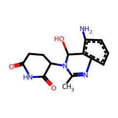 CC1=Nc2cccc(N)c2C(O)N1C1CCC(=O)NC1=O